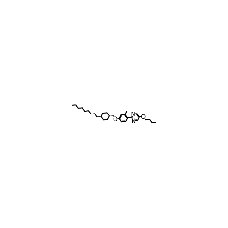 CCCCCCCCC[C@H]1CC[C@H](COc2ccc(-c3ncc(OCCCC)cn3)c(C)c2)CC1